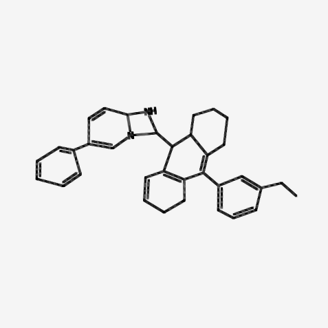 CCc1cccc(C2=C3CCCCC3C(C3NC4C=CC(c5ccccc5)=CN43)C3=C2CCC=C3)c1